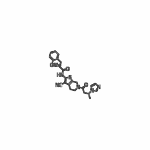 COc1ccccc1CCC(=O)Nc1sc2c(c1C#N)CCN(C(=O)C[C@H](C)n1ccnc1)C2